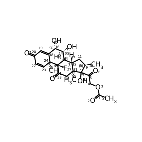 CC(=O)OCC(=O)[C@@]1(O)[C@H](C)C[C@H]2[C@@H]3[C@@H](O)[C@@H](O)C4=CC(=O)C=C[C@]4(C)[C@@]3(F)C(=O)C[C@@]21C